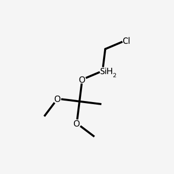 COC(C)(OC)O[SiH2]CCl